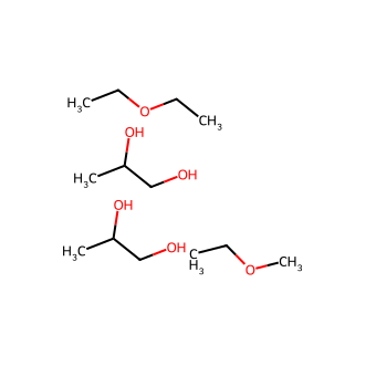 CC(O)CO.CC(O)CO.CCOC.CCOCC